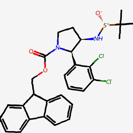 CC(C)(C)[S@@+]([O-])N[C@@H]1CCN(C(=O)OCC2c3ccccc3-c3ccccc32)[C@@H]1c1cccc(Cl)c1Cl